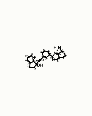 Nc1nccc2cnc(-c3cccc(C#C[C@@]4(O)CCc5cccnc54)c3)nc12